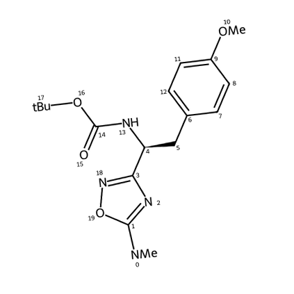 CNc1nc([C@H](Cc2ccc(OC)cc2)NC(=O)OC(C)(C)C)no1